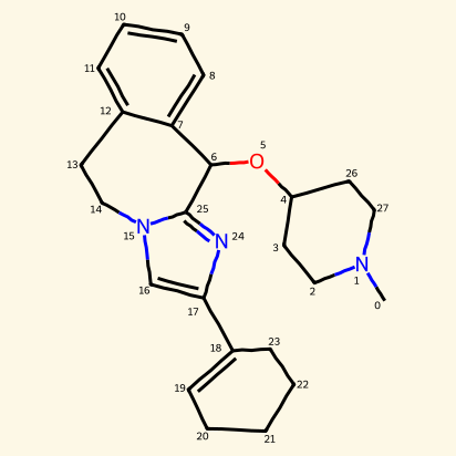 CN1CCC(OC2c3ccccc3CCn3cc(C4=CCCCC4)nc32)CC1